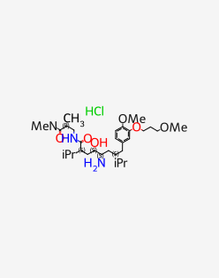 CNC(=O)[C@H](C)CNC(=O)[C@@H](C[C@H](O)[C@@H](N)C[C@H](Cc1ccc(OC)c(OCCCOC)c1)C(C)C)C(C)C.Cl